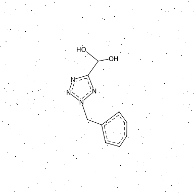 OC(O)c1nnn(Cc2ccccc2)n1